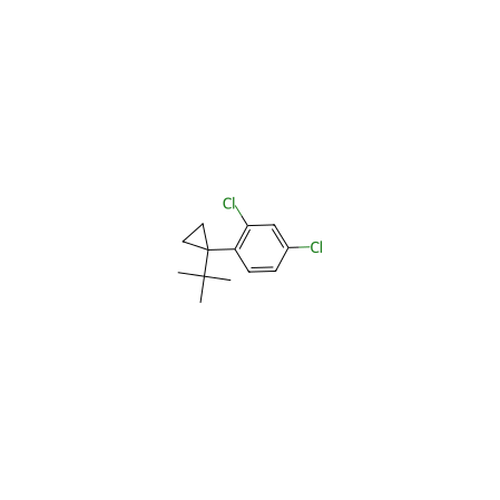 CC(C)(C)C1(c2ccc(Cl)cc2Cl)CC1